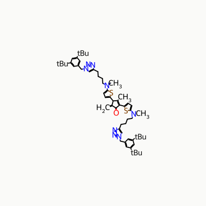 C=C1C(=O)C(c2ccc(N(C)CCCCc3cn(Cc4cc(C(C)(C)C)cc(C(C)(C)C)c4)nn3)s2)=C(C)C1c1ccc(N(C)CCCCc2cn(Cc3cc(C(C)(C)C)cc(C(C)(C)C)c3)nn2)s1